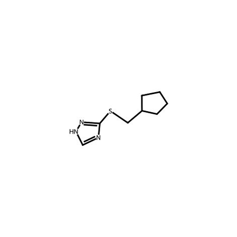 c1nc(SCC2CCCC2)n[nH]1